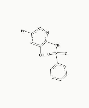 O=S(=O)(Nc1ncc(Br)cc1O)c1ccccc1